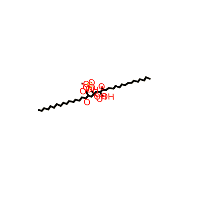 CCCCCCCCCCCCCCCC(=O)C(CC(O)(COS(=O)(=O)OC)CC(C(=O)O)C(=O)CCCCCCCCCCCCCCC)C(=O)O